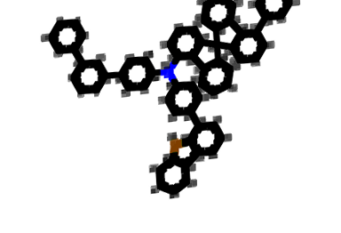 c1ccc(-c2cccc(-c3ccc(N(c4ccc(-c5cccc6c5sc5ccccc56)cc4)c4cccc5c4-c4ccccc4C54c5ccccc5-c5c(-c6ccccc6)cccc54)cc3)c2)cc1